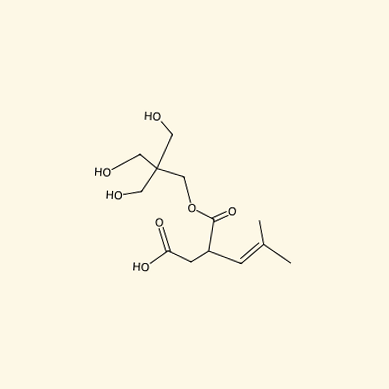 CC(C)=CC(CC(=O)O)C(=O)OCC(CO)(CO)CO